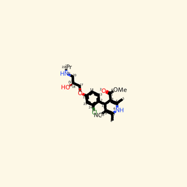 COC(=O)C1=C(C)NC(C)=C(C#N)C1c1ccc(OC[C@@H](O)CNC(C)C)cc1Cl